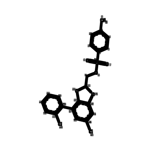 Cc1ccc(S(=O)(=O)OCC2Oc3cc(Cl)cc(-c4ccccc4Cl)c3O2)cc1